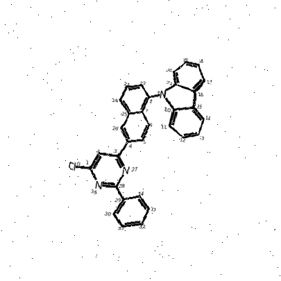 Clc1cc(-c2ccc3c(-n4c5ccccc5c5ccccc54)cccc3c2)nc(-c2ccccc2)n1